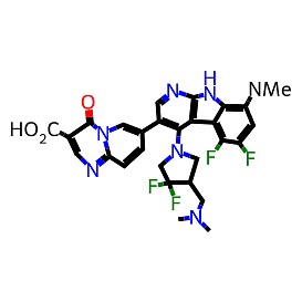 CNc1cc(F)c(F)c2c1[nH]c1ncc(-c3ccc4ncc(C(=O)O)c(=O)n4c3)c(N3CC(CN(C)C)C(F)(F)C3)c12